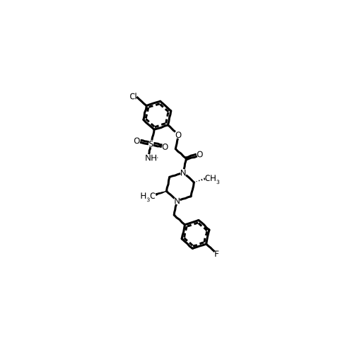 C[C@@H]1CN(Cc2ccc(F)cc2)[C@@H](C)CN1C(=O)COc1ccc(Cl)cc1S([NH])(=O)=O